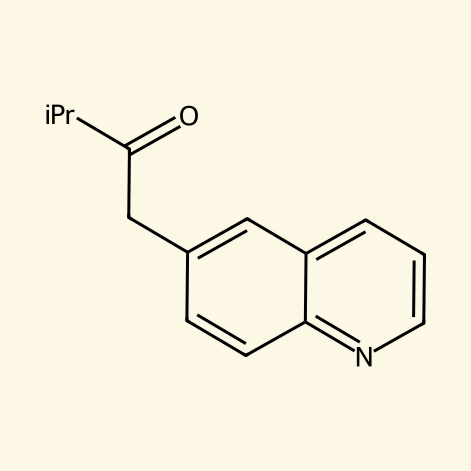 CC(C)C(=O)Cc1ccc2ncccc2c1